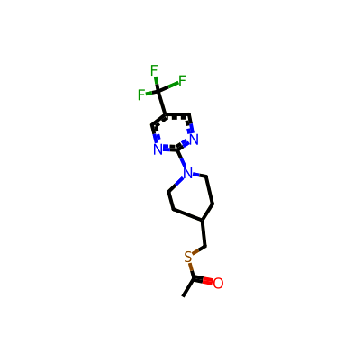 CC(=O)SCC1CCN(c2ncc(C(F)(F)F)cn2)CC1